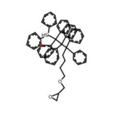 c1ccc([SiH](c2ccccc2)C(c2ccccc2)(c2ccccc2)C(c2ccccc2)(c2ccccc2)C(CCCCOCC2CO2)(c2ccccc2)c2ccccc2)cc1